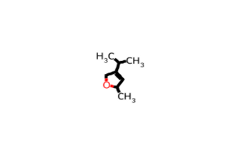 CC1C=C(C(C)C)CO1